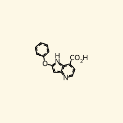 O=C(O)c1ccnc2cc(Oc3ccccc3)[nH]c12